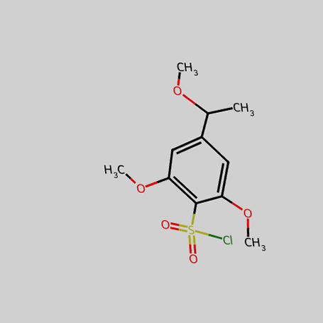 COc1cc(C(C)OC)cc(OC)c1S(=O)(=O)Cl